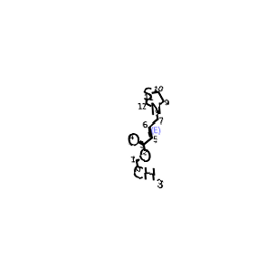 CCOC(=O)/C=C/CN1CCSC1